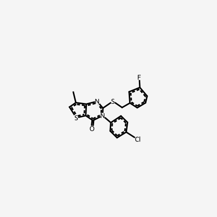 Cc1csc2c(=O)n(-c3ccc(Cl)cc3)c(SCc3cccc(F)c3)nc12